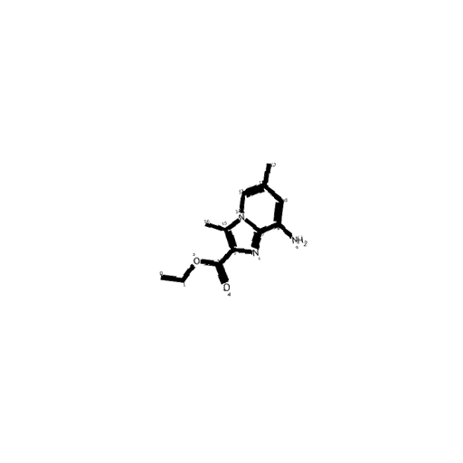 CCOC(=O)c1nc2c(N)cc(C)cn2c1C